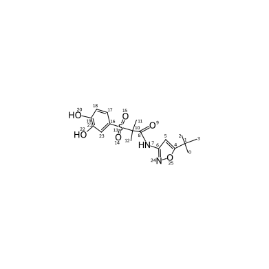 CC(C)(C)c1cc(NC(=O)C(C)(C)S(=O)(=O)c2ccc(O)c(O)c2)no1